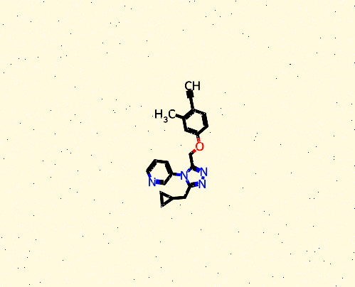 C#Cc1ccc(OCc2nnc(CC3CC3)n2-c2cccnc2)cc1C